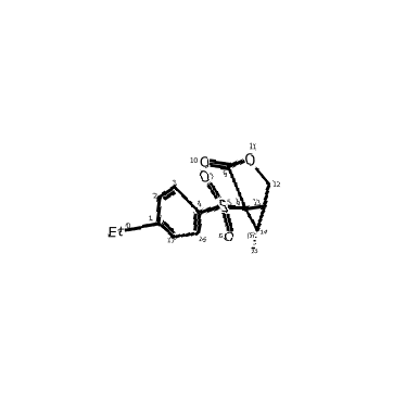 CCc1ccc(S(=O)(=O)C23C(=O)OCC2[C@@H]3C)cc1